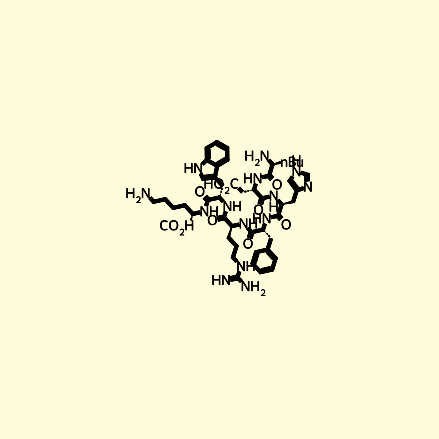 CCCC[C@H](N)C(=O)N[C@@H](CC(=O)O)C(=O)N[C@@H](Cc1c[nH]cn1)C(=O)N[C@H](Cc1ccccc1)C(=O)N[C@@H](CCCNC(=N)N)C(=O)N[C@@H](Cc1c[nH]c2ccccc12)C(=O)N[C@@H](CCCCN)C(=O)O